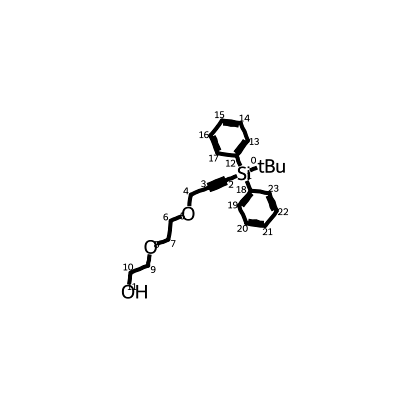 CC(C)(C)[Si](C#CCOCCOCCO)(c1ccccc1)c1ccccc1